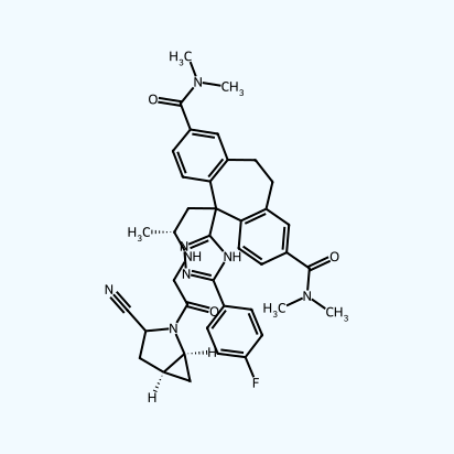 C[C@H](CC1(c2nnc(-c3ccc(F)cc3)[nH]2)c2ccc(C(=O)N(C)C)cc2CCc2cc(C(=O)N(C)C)ccc21)NCC(=O)N1C(C#N)C[C@@H]2C[C@@H]21